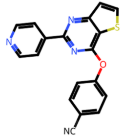 N#Cc1ccc(Oc2nc(-c3ccncc3)nc3ccsc23)cc1